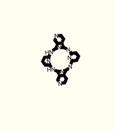 c1cc2nc3nc([nH]c4cccc(n4)[nH]c4nc(nc(c1)n2)-c1ccncc1-4)-c1cnccc1-3